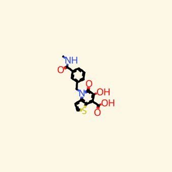 CNC(=O)c1cccc(Cn2c(=O)c(O)c(C(=O)O)c3sccc32)c1